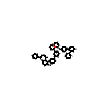 CC1CC=C(c2ccccc2)Oc2ccc3oc4ccc(-c5ccc(N(c6ccccc6)c6ccc(-c7ccccc7-c7ccccc7)cc6)c(-c6ccccc6)c5)cc4c3c21